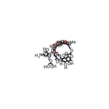 CO[C@H]1/C=C/O[C@@]2(C)Oc3c(C)c(O)c4c(O)c(c(/C=N/N5CCN(C)CC5)c(O)c4c3C2=O)NC(=O)/C(C)=C\C=C\[C@H](C)[C@H](O)[C@@H](C)[C@@H](O)[C@@H](C)[C@H](OC(C)=O)[C@@H]1C.Nc1nc2c(ncn2COC(CO)CO)c(=O)[nH]1